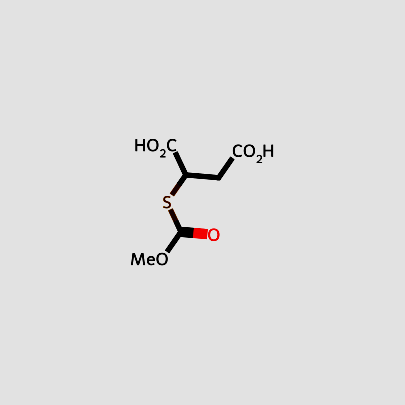 COC(=O)SC(CC(=O)O)C(=O)O